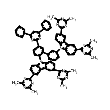 Cc1nc(C)nc(-c2ccc3c(c2)c2cc(-c4nc(C)nc(C)n4)ccc2n3-c2cccc(-c3cc(-c4nc(-c5ccccc5)cc(-c5ccccc5)n4)ccc3-n3c4ccc(-c5nc(C)nc(C)n5)cc4c4cc(-c5nc(C)nc(C)n5)ccc43)c2)n1